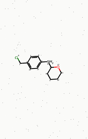 ClCc1ccc([SiH2]C2CCCCO2)cc1